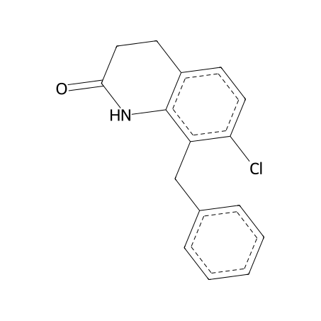 O=C1CCc2ccc(Cl)c(Cc3ccccc3)c2N1